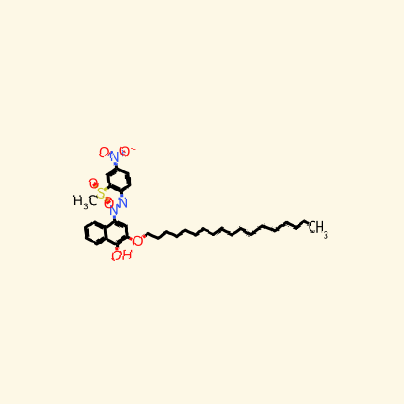 CCCCCCCCCCCCCCCCCCOc1cc(/N=N/c2ccc([N+](=O)[O-])cc2S(C)(=O)=O)c2ccccc2c1O